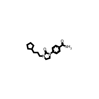 NC(=O)c1ccc(N2CCN(CCCC3CCCC3)C2=O)cc1